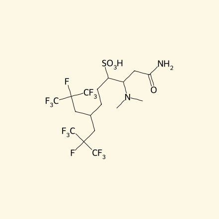 CN(C)C(CC(N)=O)C(CCC(CC(F)(C(F)(F)F)C(F)(F)F)CC(F)(C(F)(F)F)C(F)(F)F)S(=O)(=O)O